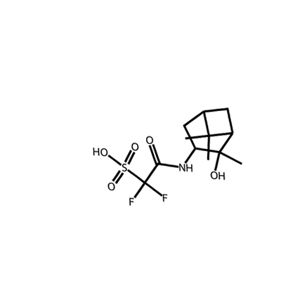 CC1(C)C2CC(NC(=O)C(F)(F)S(=O)(=O)O)C(C)(O)C1C2